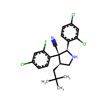 CC(C)(C)C[C@@H]1CN[C@H](c2ccc(Cl)cc2Cl)[C@@]1(C#N)c1ccc(Cl)cc1F